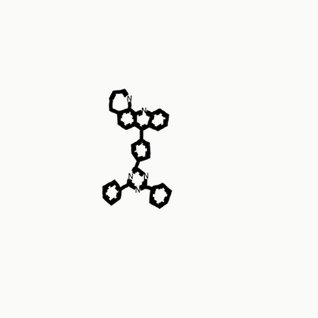 C1=CCc2ccc3c(-c4ccc(-c5nc(-c6ccccc6)nc(-c6ccccc6)n5)cc4)c4ccccc4nc3c2N=C1